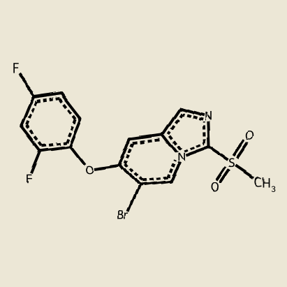 CS(=O)(=O)c1ncc2cc(Oc3ccc(F)cc3F)c(Br)cn12